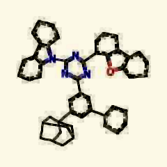 c1ccc(-c2cc(-c3nc(-c4cccc5c4oc4ccccc45)nc(-n4c5ccccc5c5ccccc54)n3)cc(C34CC5CC(CC(C5)C3)C4)c2)cc1